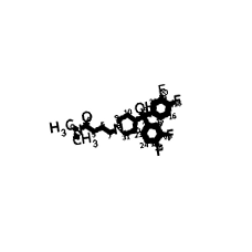 CN(C)C(=O)CCCN1CCC(C(O)(c2ccc(F)c(F)c2)c2ccc(F)c(F)c2)CC1